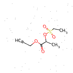 C#CCOC(=O)C(C)OS(=O)(=O)CC